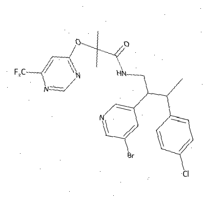 CC(c1ccc(Cl)cc1)C(CNC(=O)C(C)(C)Oc1cc(C(F)(F)F)ncn1)c1cncc(Br)c1